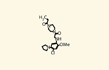 C=CC(=O)N1CCN(C(=O)CNc2cc(N3CCCC3)c(Cl)cc2OC)CC1